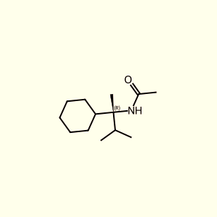 CC(=O)N[C@](C)(C(C)C)C1CCCCC1